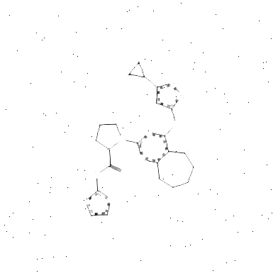 O=C(Nc1nccs1)C1CCCN1c1nc2c(c(Nc3cc(C4CC4)[nH]n3)n1)CCCCC2